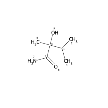 C[C](C)C(C)(O)C(N)=O